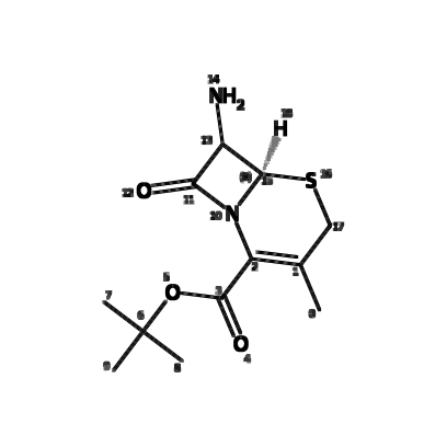 CC1=C(C(=O)OC(C)(C)C)N2C(=O)C(N)[C@H]2SC1